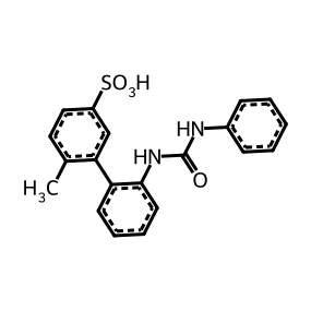 Cc1ccc(S(=O)(=O)O)cc1-c1ccccc1NC(=O)Nc1ccccc1